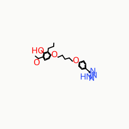 CCCc1c(OCCCCCOc2ccc(-c3nnn[nH]3)cc2)ccc(C(C)=O)c1O